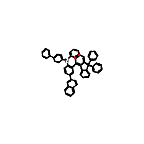 c1ccc(-c2ccc(N(c3ccccc3)c3ccc(-c4ccc5ccccc5c4)cc3-c3cccc4c3-c3ccccc3C4(c3ccccc3)c3ccccc3)cc2)cc1